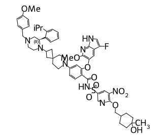 COc1ccc(CN2CCN(C3CC4(CCN(c5ccc(C(=O)NS(=O)(=O)c6cnc(OCC7CCC(C)(O)CC7)c([N+](=O)[O-])c6)c(Oc6cc7c(F)c[nH]c7nc6OC)c5)CC4)C3)[C@H](c3ccccc3C(C)C)C2)cc1